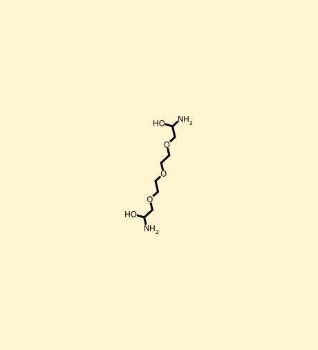 NC(O)COCCOCCOCC(N)O